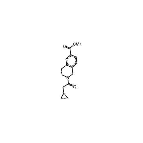 COC(=O)c1ccc2c(c1)CCN(C(=O)CC1CC1)C2